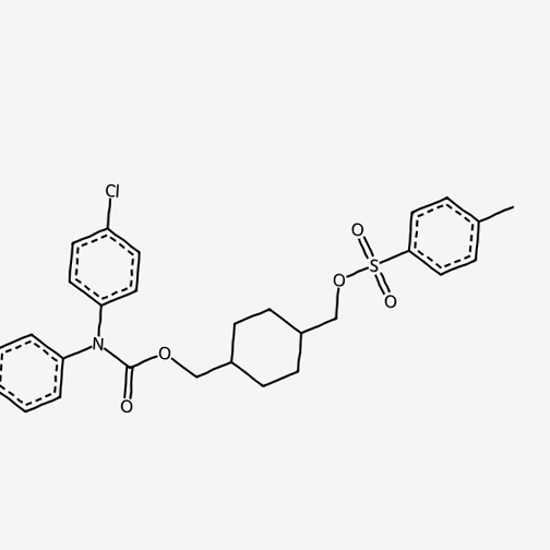 Cc1ccc(S(=O)(=O)OCC2CCC(COC(=O)N(c3ccccc3)c3ccc(Cl)cc3)CC2)cc1